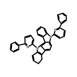 C1=Cc2c(c3ccc4c(c5ccccc5n4-c4cccc(-c5ccccc5)n4)c3n2-c2cccc(-c3ccccc3)n2)CC1